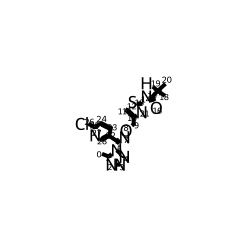 Cc1nnnn1/C(=N/OCc1csc(NC(=O)C(C)(C)C)n1)c1ccc(Cl)nc1